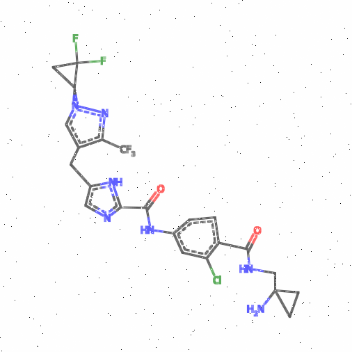 NC1(CNC(=O)c2ccc(NC(=O)c3ncc(Cc4cn([C@H]5CC5(F)F)nc4C(F)(F)F)[nH]3)cc2Cl)CC1